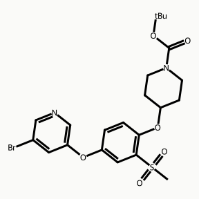 CC(C)(C)OC(=O)N1CCC(Oc2ccc(Oc3cncc(Br)c3)cc2S(C)(=O)=O)CC1